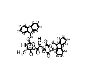 C[C@H](NC(=O)OCC1c2ccccc2-c2ccccc21)C(=O)OC(=O)[C@H](C)N(OC(=O)O)C(=O)OCC1c2ccccc2-c2ccccc21